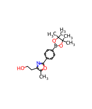 Cc1oc(-c2ccc(B3OC(C)(C)C(C)(C)O3)cc2)nc1CCO